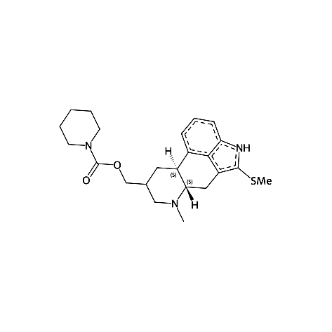 CSc1[nH]c2cccc3c2c1C[C@H]1[C@H]3CC(COC(=O)N2CCCCC2)CN1C